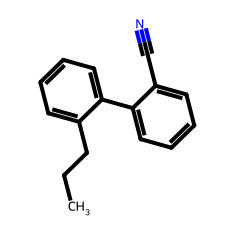 CCCc1ccccc1-c1ccccc1C#N